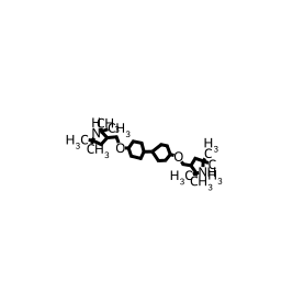 CC1(C)CC(COC2CCC(C3CCC(OCC4CC(C)(C)NC4(C)C)CC3)CC2)C(C)(C)N1